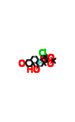 CC1(C)OC2CC3C4CCC5=CC(=O)CCC5(C)C4(F)C(O)CC3(C)C2(C(=O)CCl)O1